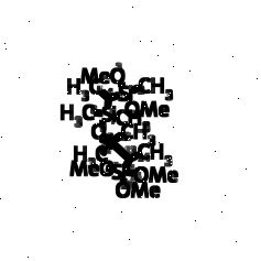 CO[Si](C)(OC)C(C)[Si](C)(C)O[Si](C)(C)C(C)[Si](OC)(OC)OC